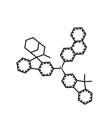 CC1CC2CCCC(C2)C12c1ccccc1-c1ccc(N(c3ccc4c(c3)C(C)(C)c3ccccc3-4)c3ccc4c(ccc5ccccc54)c3)cc12